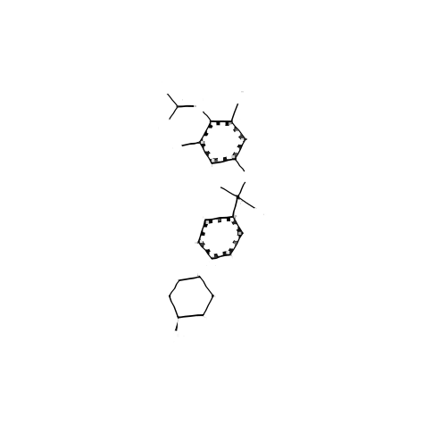 CCCC[C@H]1CC[C@H](c2ccc(C(F)(F)Oc3cc(F)c(OC(F)F)c(F)c3)cc2)CC1